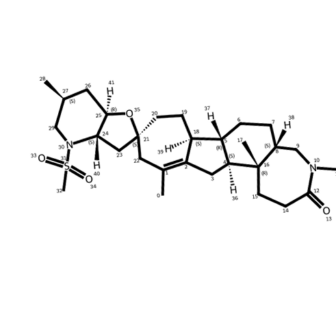 CC1=C2C[C@H]3[C@@H](CC[C@@H]4CN(C)C(=O)CC[C@@]43C)[C@@H]2CC[C@]2(C1)C[C@H]1[C@@H](C[C@H](C)CN1S(C)(=O)=O)O2